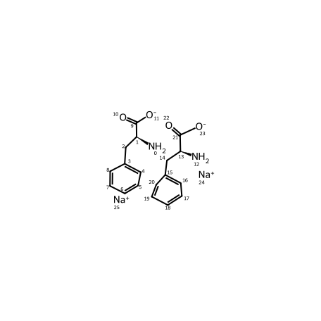 N[C@@H](Cc1ccccc1)C(=O)[O-].N[C@@H](Cc1ccccc1)C(=O)[O-].[Na+].[Na+]